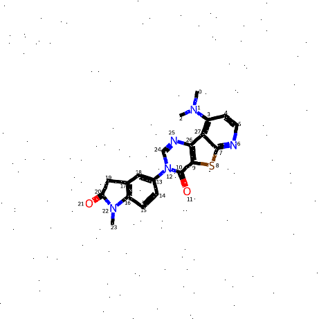 CN(C)c1ccnc2sc3c(=O)n(-c4ccc5c(c4)CC(=O)N5C)cnc3c12